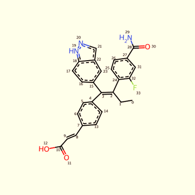 CCC(=C(c1ccc(C=CC(=O)O)cc1)c1ccc2[nH]ncc2c1)c1ccc(C(N)=O)cc1F